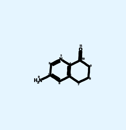 Nc1cnc2c(c1)CCCC2=O